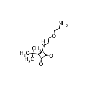 CC(C)(C)c1c(NCCOCCN)c(=O)c1=O